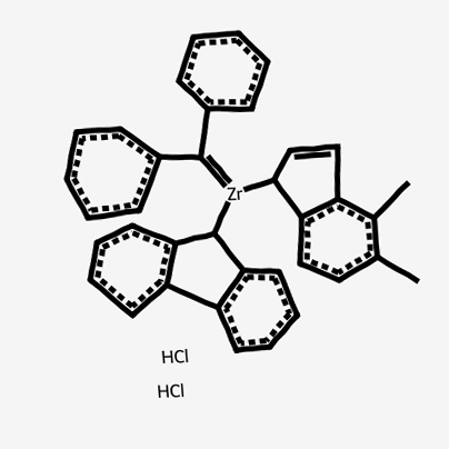 Cc1ccc2c(c1C)C=C[CH]2[Zr](=[C](c1ccccc1)c1ccccc1)[CH]1c2ccccc2-c2ccccc21.Cl.Cl